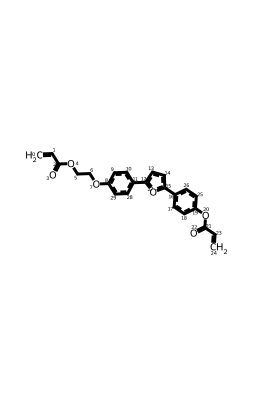 C=CC(=O)OCCOc1ccc(-c2ccc(-c3ccc(OC(=O)C=C)cc3)o2)cc1